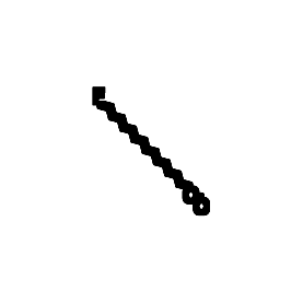 O=COCCCCCCCCCCCCCCCCF